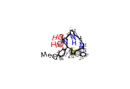 COc1ccc(-c2c3nc(cc4ccc(cc5nc(c(-c6ccccc6)c6ccc2s6)C=C5)[nH]4)C(O)C3O)cc1